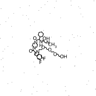 CNCC(=O)NC(C(=O)N1CCN(C(=O)c2cc3cc(F)c(F)cc3n2CCOCCOCCOCCO)CC1)C1CCCCC1